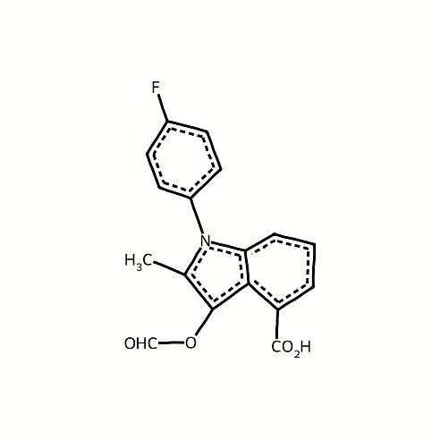 Cc1c(OC=O)c2c(C(=O)O)cccc2n1-c1ccc(F)cc1